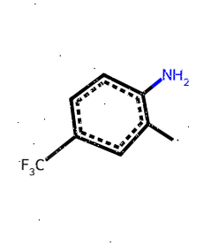 [CH2]c1cc(C(F)(F)F)ccc1N